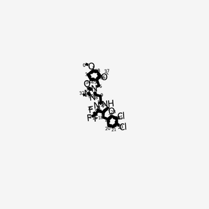 COc1ccc(Cn2c(Cc3nc(C(F)(F)F)c(Cc4ccc(Cl)c(Cl)c4)c(=O)[nH]3)nn(C)c2=O)c(OC)c1